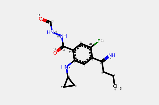 CCCC(=N)c1cc(NC2CC2)c(C(=O)NNC=O)cc1F